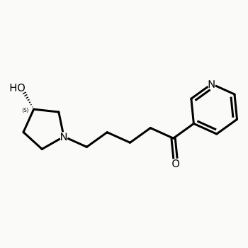 O=C(CCCCN1CC[C@H](O)C1)c1cccnc1